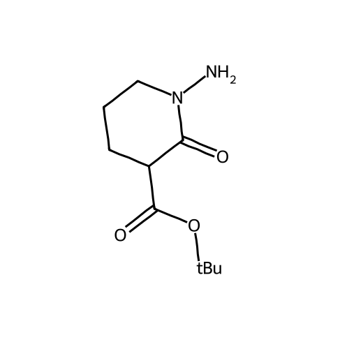 CC(C)(C)OC(=O)C1CCCN(N)C1=O